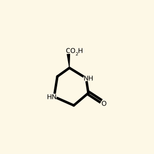 O=C1CNC[C@@H](C(=O)O)N1